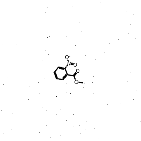 [CH2]OC(=O)c1ccccc1[N+](=O)[O-]